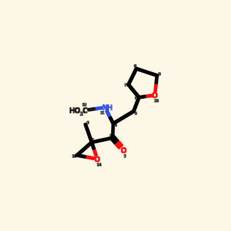 CC1(C(=O)C(CC2CCCO2)NC(=O)O)CO1